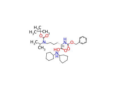 C1CCC(NC2CCCCC2)CC1.CC(C)N(CCCC[C@H](NC(=O)OCc1ccccc1)C(=O)O)C(=O)OC(C)(C)C